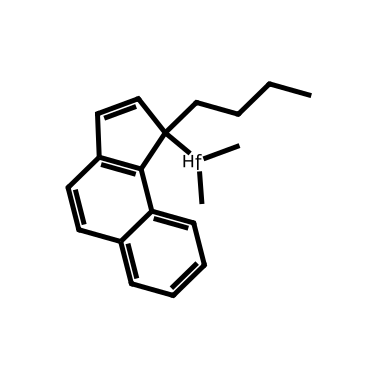 CCCC[C]1([Hf]([CH3])[CH3])C=Cc2ccc3ccccc3c21